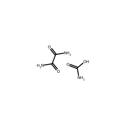 NC(=O)C(N)=O.NC(=O)O